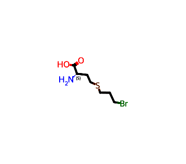 N[C@@H](CCSCCCBr)C(=O)O